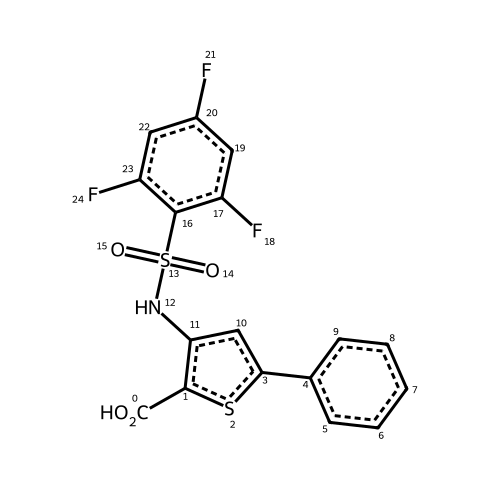 O=C(O)c1sc(-c2ccccc2)cc1NS(=O)(=O)c1c(F)cc(F)cc1F